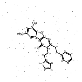 CCCCc1cc(O)c2sc3nc(CCc4ccccc4)n(CCc4cccs4)c(=O)c3c2c1